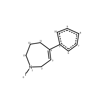 IN1CC=C(c2ccccc2)CCC1